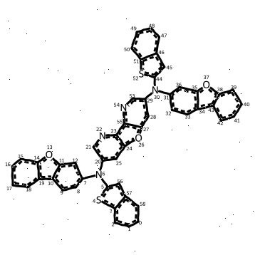 c1ccc2sc(N(c3ccc4c(c3)oc3ccccc34)c3cnc4c(c3)oc3cc(N(c5ccc6c(c5)oc5ccccc56)c5cc6ccccc6s5)cnc34)cc2c1